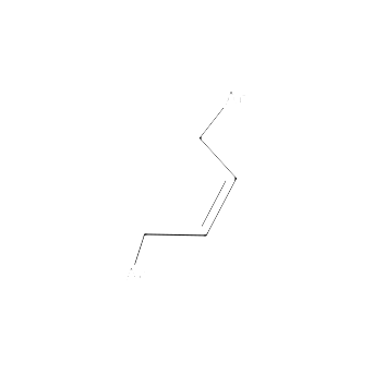 CC(=O)C/C=C\CC(C)=O